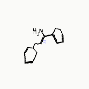 N/C(=C\CC1C=CCCC1)C1=CC=CCC1